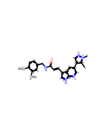 COc1ccc(CNC(=O)/C=C/c2c[nH]c3ncc(-c4cnn(C)c4C)cc23)cc1OC